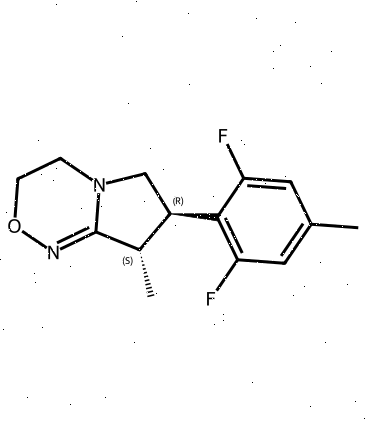 Cc1cc(F)c([C@@H]2CN3CCON=C3[C@H]2C)c(F)c1